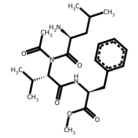 COC(=O)[C@H](Cc1ccccc1)NC(=O)[C@H](C(C)C)N(C(C)=O)C(=O)[C@@H](N)CC(C)C